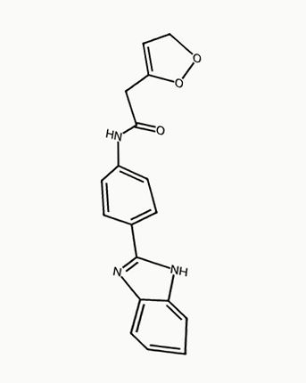 O=C(CC1=CCOO1)Nc1ccc(-c2nc3ccccc3[nH]2)cc1